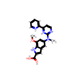 COc1cc(N(C)c2nccc(-c3ccccn3)n2)cc2cc(C(=O)O)[nH]c12